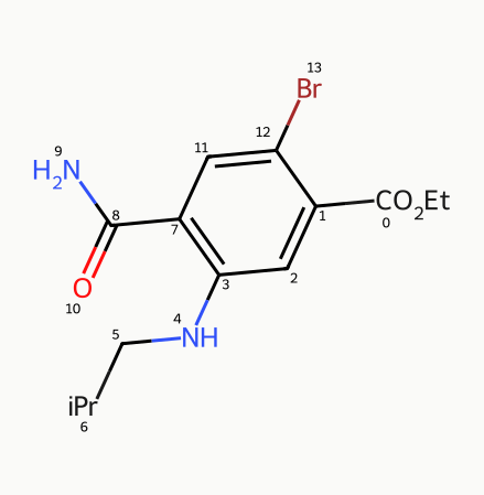 CCOC(=O)c1cc(NCC(C)C)c(C(N)=O)cc1Br